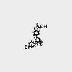 CCN1CCN(c2nc(-c3ccc(O[C@@H](C)CO)cc3)cc3ccoc23)CC1